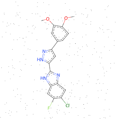 COc1ccc(-c2cc(-c3nc4cc(Cl)c(F)cc4[nH]3)[nH]n2)cc1OC